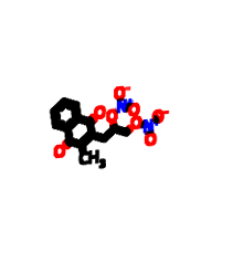 CC1=C(CC(CO[N+](=O)[O-])O[N+](=O)[O-])C(=O)c2ccccc2C1=O